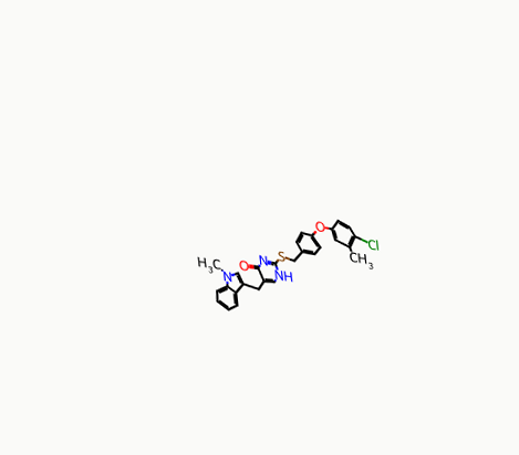 Cc1cc(Oc2ccc(CSc3nc(=O)c(Cc4cn(C)c5ccccc45)c[nH]3)cc2)ccc1Cl